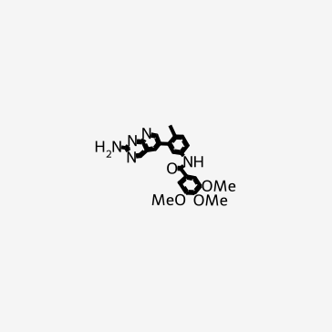 COc1cc(C(=O)Nc2ccc(C)c(-c3cnc4nc(N)ncc4c3)c2)cc(OC)c1OC